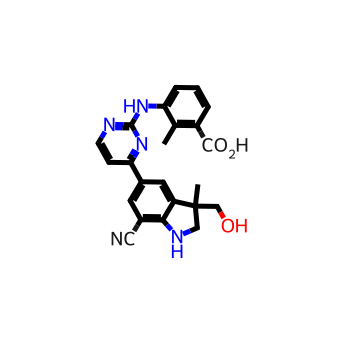 Cc1c(Nc2nccc(-c3cc(C#N)c4c(c3)C(C)(CO)CN4)n2)cccc1C(=O)O